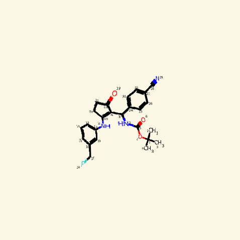 CC(C)(C)OC(=O)NC(C1=C(Nc2cccc(CF)c2)CCC1=O)c1ccc(C#N)cc1